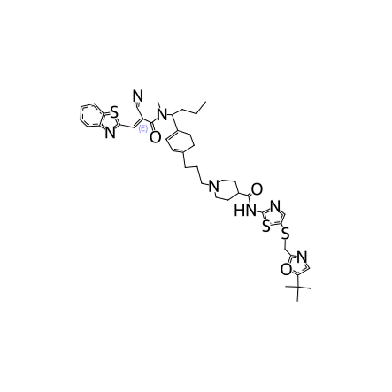 CCCC(C1=CC=C(CCCN2CCC(C(=O)Nc3ncc(SCc4ncc(C(C)(C)C)o4)s3)CC2)CC1)N(C)C(=O)/C(C#N)=C/c1nc2ccccc2s1